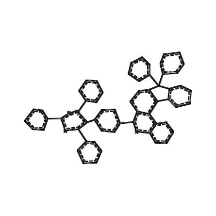 c1ccc(-c2nc(-c3ccccc3)c(-c3ccc(-c4nc5ccccc5c5c6c(ccc45)C(c4ccccc4)(c4ccccc4)c4ccccc4-6)cc3)c(-c3ccccc3)n2)cc1